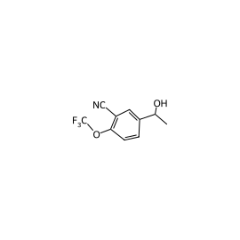 CC(O)c1ccc(OC(F)(F)F)c(C#N)c1